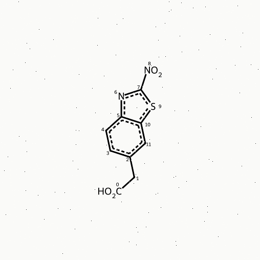 O=C(O)Cc1ccc2nc([N+](=O)[O-])sc2c1